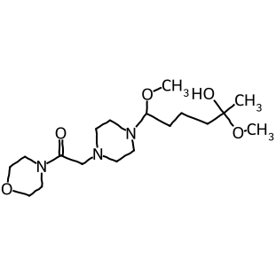 COC(CCCC(C)(O)OC)N1CCN(CC(=O)N2CCOCC2)CC1